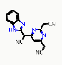 N#CCc1cc(C(C#N)c2nc3ccccc3[nH]2)nc(CC#N)n1